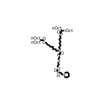 CCCCCCCCC(CCCCCCCC)C(=O)OCCCCCCCCN(CCCCCCCCOC(=O)C(CCCCCCCC)CCCCCCCC)C(=O)OCCSSCCOC(=O)NCCN1CCCCCC1